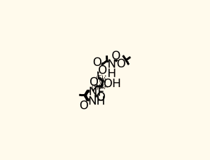 Cc1cn([C@H]2O[C@@H](COC(=O)C(C)NC(=O)OC(C)(C)C)[C@@](C)(O)[C@@]2(C)F)c(=O)[nH]c1=O